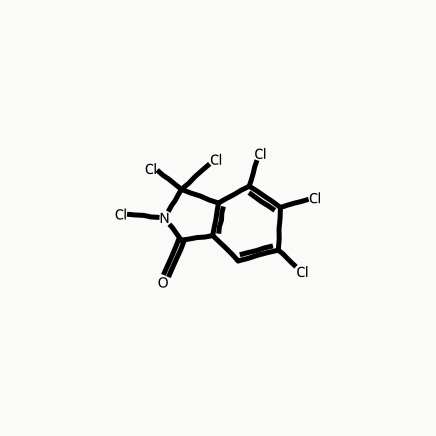 O=C1c2cc(Cl)c(Cl)c(Cl)c2C(Cl)(Cl)N1Cl